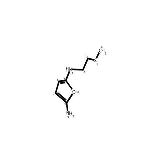 CSCCNc1ccc(N)o1